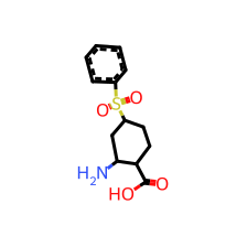 NC1CC(S(=O)(=O)c2ccccc2)CCC1C(=O)O